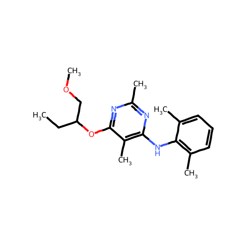 CCC(COC)Oc1nc(C)nc(Nc2c(C)cccc2C)c1C